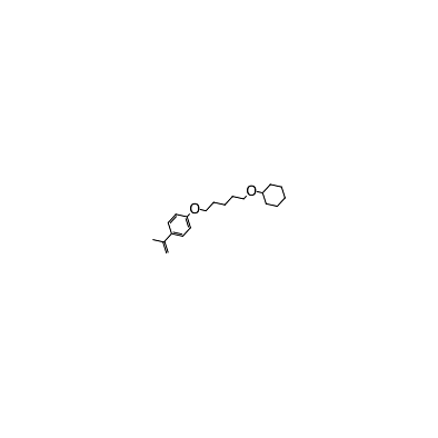 C=C(C)c1ccc(OCCCCCOC2CCCCC2)cc1